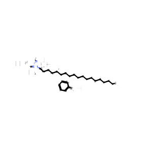 CCCCCCCCCCCCCCCCCCC(C)(C)N(C)CC.Cc1ccccc1